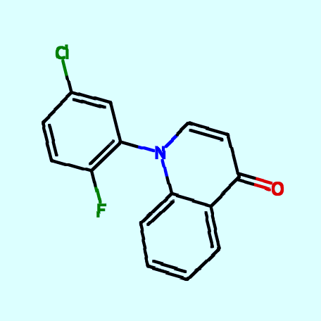 O=c1ccn(-c2cc(Cl)ccc2F)c2ccccc12